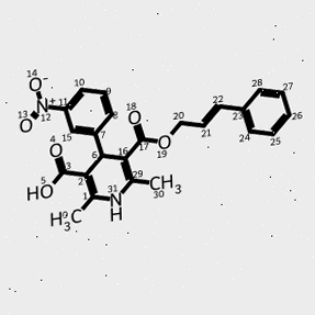 CC1=C(C(=O)O)C(c2cccc([N+](=O)[O-])c2)C(C(=O)OCC=Cc2ccccc2)=C(C)N1